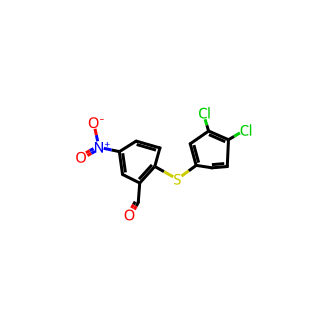 O=Cc1cc([N+](=O)[O-])ccc1Sc1ccc(Cl)c(Cl)c1